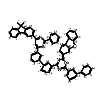 CC1(C)c2ccccc2-c2cc(-c3cc(-c4cccc(-c5cccc(-c6nc(-c7cccc(-c8ccccc8)c7)nc(-c7ccc8c(c7)oc7ccccc78)n6)c5)c4)nc(-c4ccccc4)n3)ccc21